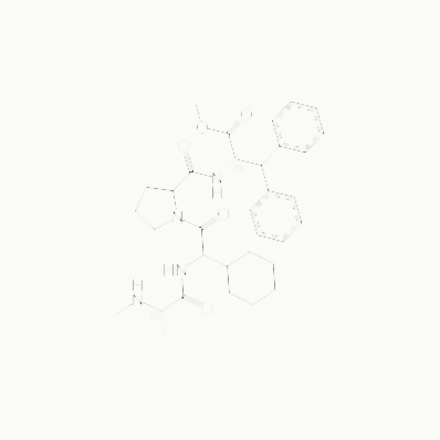 CN[C@@H](C)C(=O)NC(C(=O)N1CCCC1C(=O)N[C@H](C(=O)OC)C(c1ccccc1)c1ccccc1)C1CCCCC1